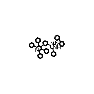 C1=C(c2cccc(-c3c(-c4ccccc4)c(-c4ccccc4)nc(-c4ccccc4)c3-c3ccccc3)c2)N=C(n2c3ccccc3c3ccccc32)NC1c1ccccc1